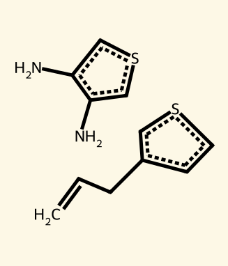 C=CCc1ccsc1.Nc1cscc1N